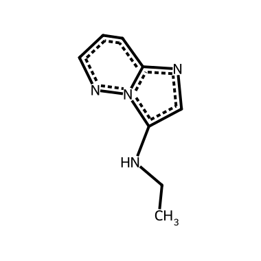 CCNc1cnc2cccnn12